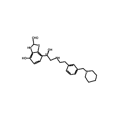 O=CC1Nc2c(O)ccc([C@@H](O)CNCCc3cccc(CN4CCCCC4)c3)c2S1